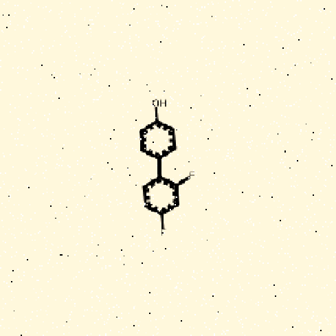 Oc1[c]cc(-c2ccc(F)cc2F)cc1